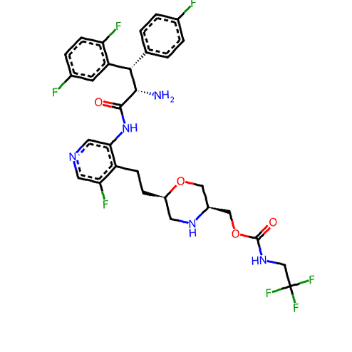 N[C@H](C(=O)Nc1cncc(F)c1CC[C@@H]1CN[C@H](COC(=O)NCC(F)(F)F)CO1)[C@@H](c1ccc(F)cc1)c1cc(F)ccc1F